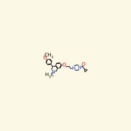 COc1ccc(C2CN(C)Cc3cc(OCCCN4CCN(C(=O)C5CC5)CC4)ccc32)cc1